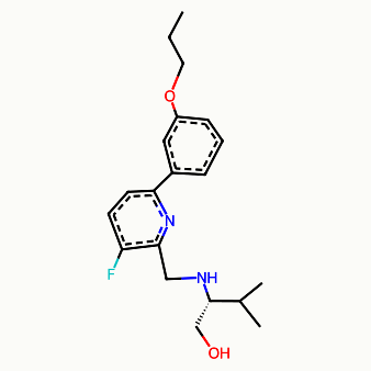 CCCOc1cccc(-c2ccc(F)c(CN[C@@H](CO)C(C)C)n2)c1